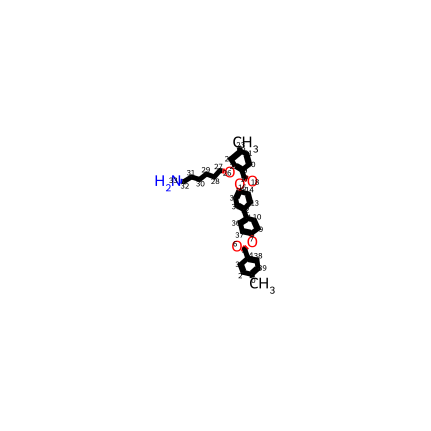 Cc1ccc(C(=O)Oc2ccc(-c3ccc(OC(=O)c4ccc(C)cc4OCCCCCCN)cc3)cc2)cc1